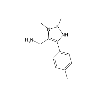 Cc1ccc(C2=C(CN)N(C)N(C)N2)cc1